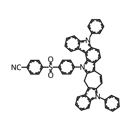 N#Cc1ccc(S(=O)(=O)c2ccc(-n3c4c(c5ccc6c(c7ccccc7n6-c6ccccc6)c53)C=Cc3c(c5ccccc5n3-c3ccccc3)C4)cc2)cc1